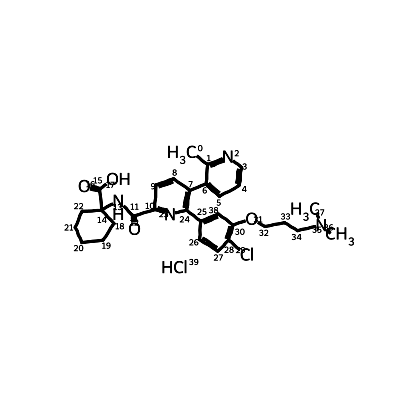 Cc1ncccc1-c1ccc(C(=O)NC2(C(=O)O)CCCCC2)nc1-c1ccc(Cl)c(OCCCN(C)C)c1.Cl